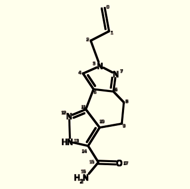 C=CCn1cc2c(n1)CCc1c-2n[nH]c1C(N)=O